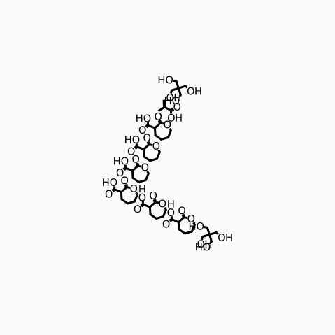 C=C(C)C(=O)O.O=C(O)C1CCCCOC1=O.O=C(O)C1CCCCOC1=O.O=C(O)C1CCCCOC1=O.O=C(O)C1CCCCOC1=O.O=C(O)C1CCCCOC1=O.O=C(O)C1CCCCOC1=O.OCC(CO)(CO)CO.OCC(CO)(CO)CO